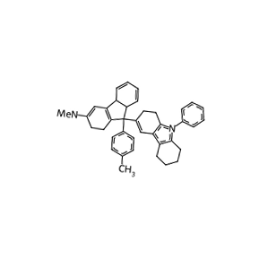 CNC1=CC2=C(CC1)C(C1=Cc3c4c(n(-c5ccccc5)c3CC1)CCCC4)(c1ccc(C)cc1)C1C=CC=CC21